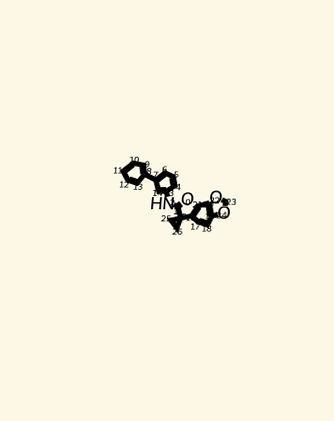 O=C(Nc1cccc(-c2ccccc2)c1)C1(c2ccc3c(c2)OCO3)CC1